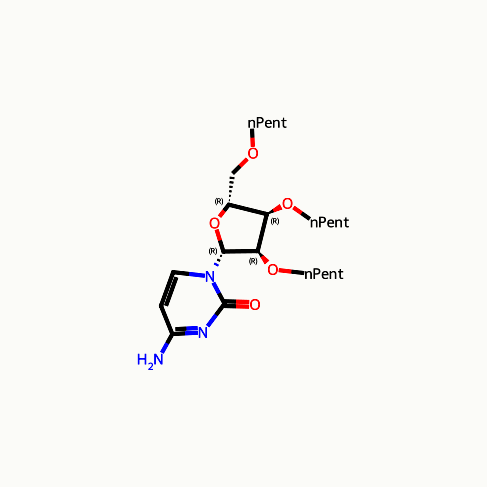 CCCCCOC[C@H]1O[C@@H](n2ccc(N)nc2=O)[C@H](OCCCCC)[C@@H]1OCCCCC